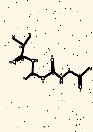 [CH2]C(=O)CNC(=O)OC(C)OC(=O)C(C)C